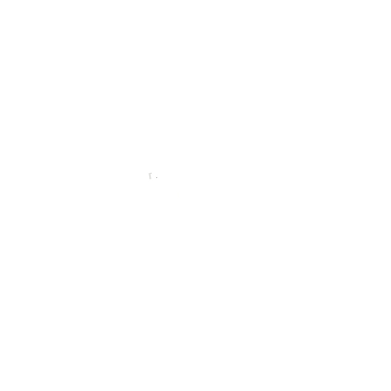 C1COCN1.CC/C=C(\C)C(=O)O